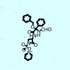 O=CNC(OCc1ccccc1)(C(=O)NC1CN(S(=O)(=O)O[n+]2ccccc2)C1=O)c1ccccc1